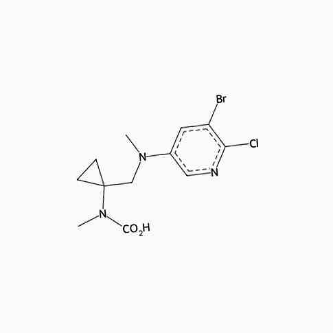 CN(CC1(N(C)C(=O)O)CC1)c1cnc(Cl)c(Br)c1